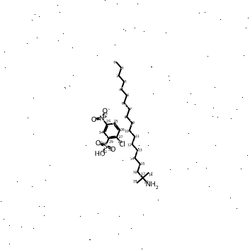 CCCCCCCCCCCCCCCCCC(C)(C)N.O=[N+]([O-])c1ccc(Cl)c(S(=O)(=O)O)c1